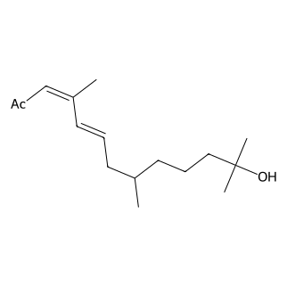 CC(=O)C=C(C)C=CCC(C)CCCC(C)(C)O